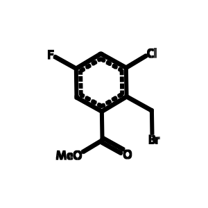 COC(=O)c1cc(F)cc(Cl)c1CBr